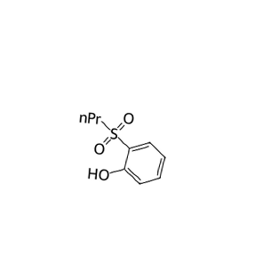 CCCS(=O)(=O)c1ccccc1O